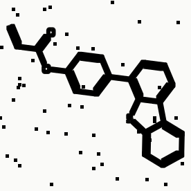 C=CC(=O)Oc1ccc(-c2cccc3c2sc2ccccc23)cc1